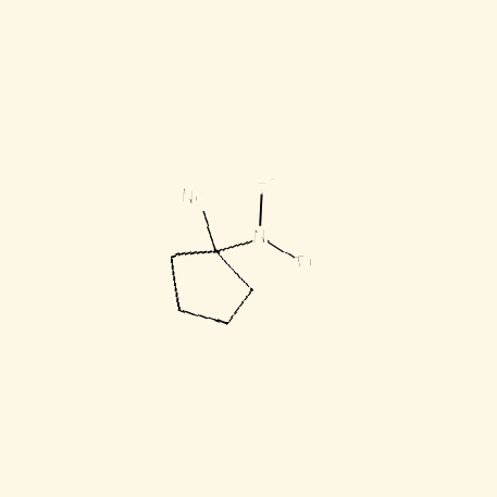 CCN(CC)C1(C#N)CCCC1